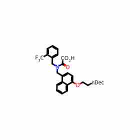 CCCCCCCCCCCCOc1ccc(CN(Cc2ccccc2C(F)(F)F)C(=O)C(=O)O)c2ccccc12